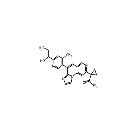 CCC(O)c1cc(C)c(-c2cc3cnc(C4(C(N)=O)CC4)cc3n3ccnc23)cn1